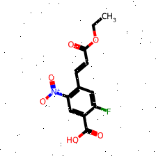 CCOC(=O)C=Cc1cc(F)c(C(=O)O)cc1[N+](=O)[O-]